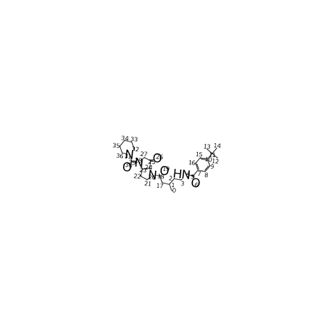 CC(CCNC(=O)c1ccc(C(C)(C)C)cc1)CC(=O)N1CCC2C1C(=O)CN2C(=O)N1CCCCC1